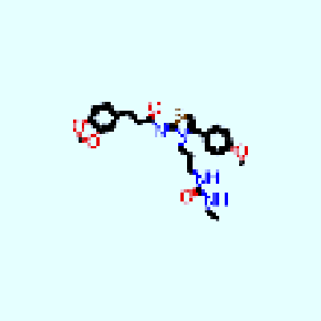 CCNC(=O)NCCCn1c(-c2ccc(OC)cc2)cs/c1=N\C(=O)CCc1ccc2c(c1)OCO2